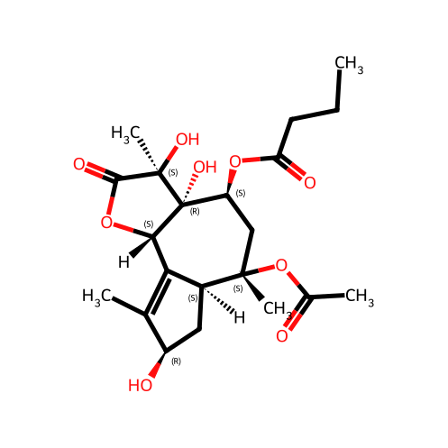 CCCC(=O)O[C@H]1C[C@](C)(OC(C)=O)[C@H]2C[C@@H](O)C(C)=C2[C@@H]2OC(=O)[C@@](C)(O)[C@@]12O